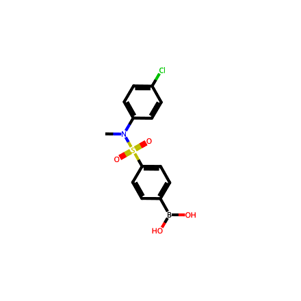 CN(c1ccc(Cl)cc1)S(=O)(=O)c1ccc(B(O)O)cc1